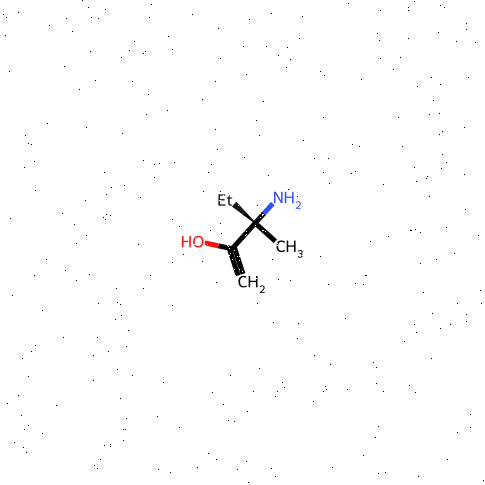 C=C(O)[C@@](C)(N)CC